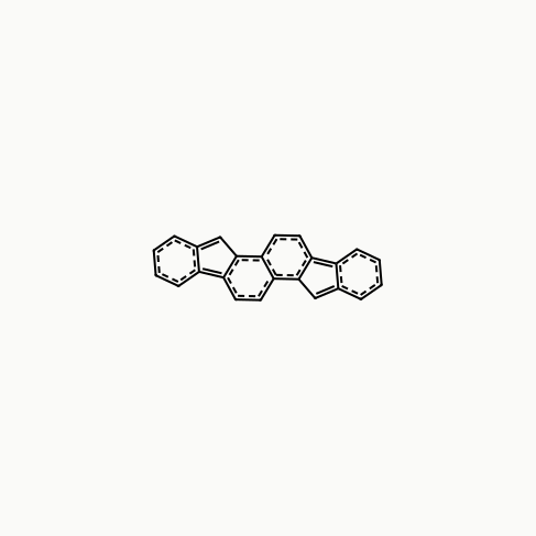 C1=c2ccccc2=c2ccc3c4c(ccc3c21)=c1ccccc1=C4